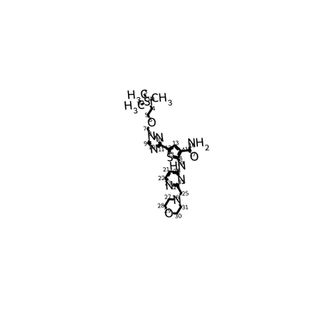 C[Si](C)(C)CCOCn1cnc(-c2cc(C(N)=O)c(Nc3ccnc(CN4CCOCC4)n3)s2)n1